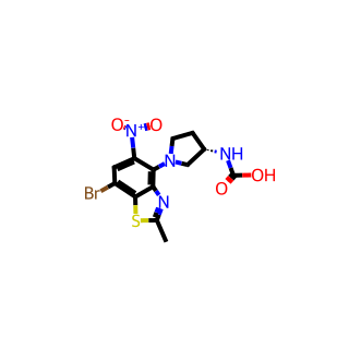 Cc1nc2c(N3CC[C@H](NC(=O)O)C3)c([N+](=O)[O-])cc(Br)c2s1